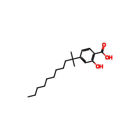 CCCCCCCCCC(C)(C)c1ccc(C(=O)O)c(O)c1